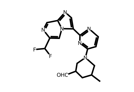 CC1CC(C=O)CN(c2ccnc(-c3cnc4cnc(C(F)F)cn34)n2)C1